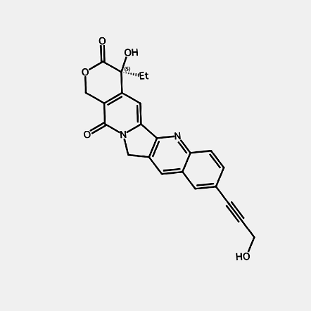 CC[C@@]1(O)C(=O)OCc2c1cc1n(c2=O)Cc2cc3cc(C#CCO)ccc3nc2-1